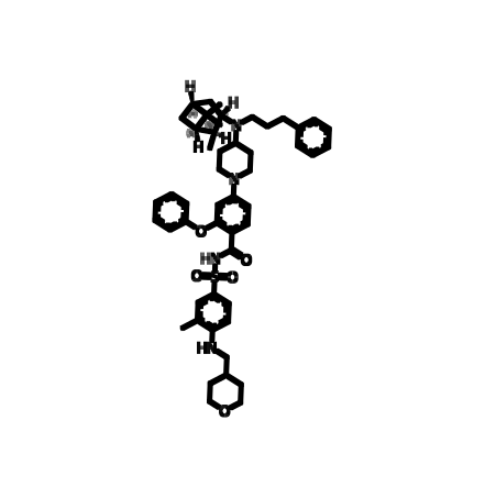 Cc1cc(S(=O)(=O)NC(=O)c2ccc(N3CCC(N(CCCc4ccccc4)[C@H]4C[C@H]5C[C@@H]([C@@H]4C)C5(C)C)CC3)cc2Oc2ccccc2)ccc1NCC1CCOCC1